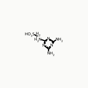 Nc1nc(N)nc(N)n1.O=S(=O)(O)P